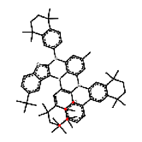 Cc1cc2c3c(c1)N(c1ccc4c(c1)C(C)(C)CCC4(C)C)c1sc4ccc(C(C)(C)C)cc4c1B3C1=C([C@H](C)C3(C)C(=C1)C(C)(C)CCC3(C)C)N2c1cc2c(cc1-c1ccc(C(C)(C)C)cc1)C(C)(C)CCC2(C)C